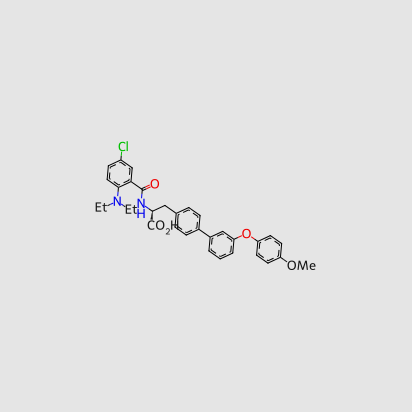 CCN(CC)c1ccc(Cl)cc1C(=O)N[C@@H](Cc1ccc(-c2cccc(Oc3ccc(OC)cc3)c2)cc1)C(=O)O